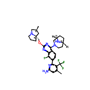 Cc1cc(N)nc(-c2ccc3c(N4CC[C@H]5CC[C@@H](C4)N5)nc(OC[C@]45CCCN4C[C@@H](C)C5)nc3c2F)c1C(F)(F)F